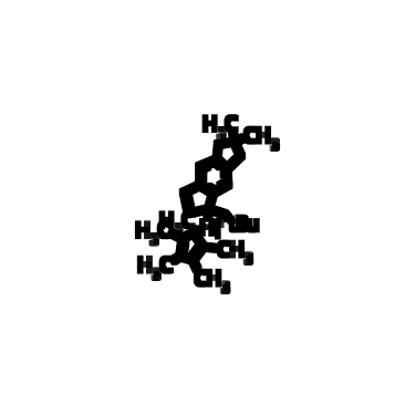 CC1=C(C)[C](C)([Hf][C]2(CC(C)(C)C)C=Cc3cc4c(cc32)CC(C)(C)C4)C(C)=C1C